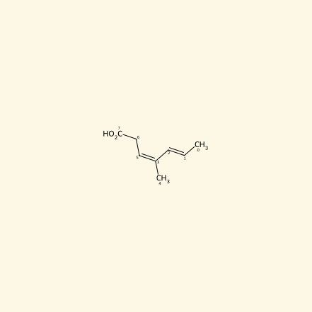 CC=CC(C)=CCC(=O)O